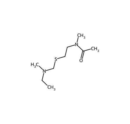 CCN(C)CSCCN(C)C(C)=O